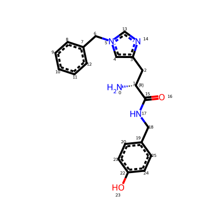 N[C@H](Cc1cn(Cc2ccccc2)cn1)C(=O)NCc1ccc(O)cc1